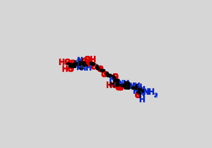 Nc1nc2ncc(CNc3ccc(C(=O)NC(CCC(=O)NCCCOCCOCCOCCOP(=O)(O)O[C@@H]4CNC=Nc5c4ncn5[C@H]4CC(O)[C@@H](CO)O4)C(=O)O)cc3)nc2c(=O)[nH]1